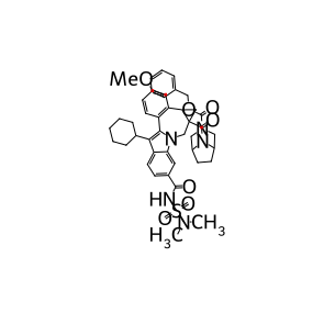 COc1ccc2c(c1)C1CC1(C(=O)N1C3CCC1CN(C(=O)OCc1ccccc1)C3)Cn1c-2c(C2CCCCC2)c2ccc(C(=O)NS(=O)(=O)N(C)C)cc21